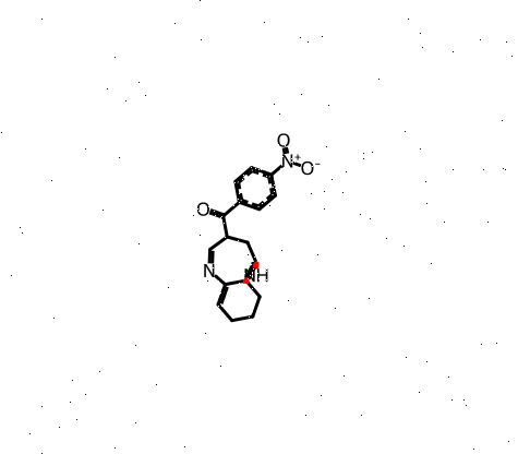 O=C(c1ccc([N+](=O)[O-])cc1)C1C=NC2=CCCCC23NC=CC=C3C1